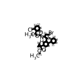 CCOC(=O)C1(c2ccc(-c3ccccc3)c(-c3sc(Br)cc3NC(=O)OC(C)c3ccccc3Cl)c2)CC1